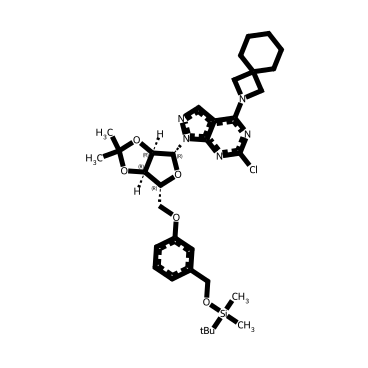 CC1(C)O[C@@H]2[C@H](O1)[C@@H](COc1cccc(CO[Si](C)(C)C(C)(C)C)c1)O[C@H]2n1ncc2c(N3CC4(CCCCC4)C3)nc(Cl)nc21